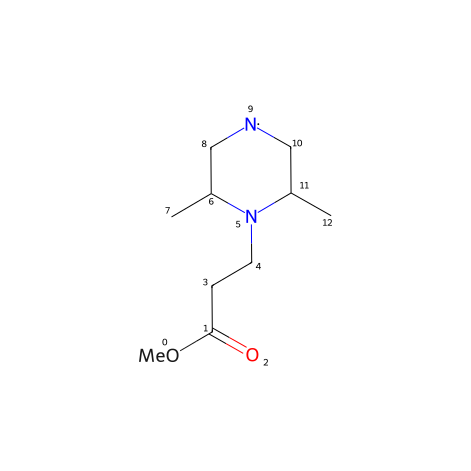 COC(=O)CCN1C(C)C[N]CC1C